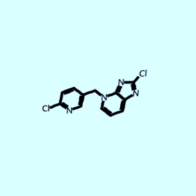 Clc1ccc(Cn2cccc3nc(Cl)nc2-3)cn1